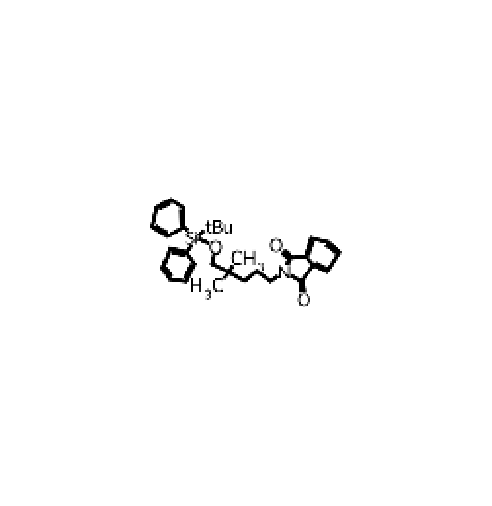 CC(C)(CCCN1C(=O)c2ccccc2C1=O)CO[Si](c1ccccc1)(c1ccccc1)C(C)(C)C